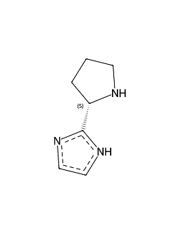 c1c[nH]c([C@@H]2CCCN2)n1